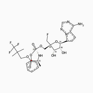 C[C@H](N[P@](=O)(OC[C@@]1(CF)O[C@@H](c2ccc3c(N)ncnn23)[C@H](O)[C@@H]1O)Oc1ccccc1)C(=O)OCC(C)(C)C(F)(F)F